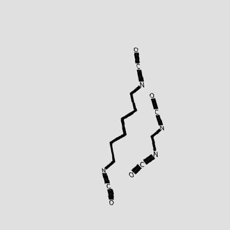 O=C=NCCCCCCN=C=O.O=C=NCN=C=O